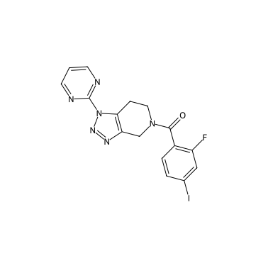 O=C(c1ccc(I)cc1F)N1CCc2c(nnn2-c2ncccn2)C1